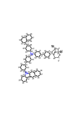 C[C@H]1C[C@H]2C[C@H]3C[C@](c4ccc(-c5ccc(N(c6ccc(-c7cccc(-n8c9ccccc9c9cc%10ccccc%10cc98)c7)cc6)c6ccc(-c7cccc8ccccc78)cc6)cc5)cc4)(C1)C23